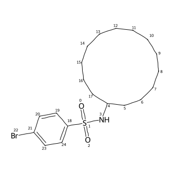 O=S(=O)(NC1CCCCCCCCCCCCC1)c1ccc(Br)cc1